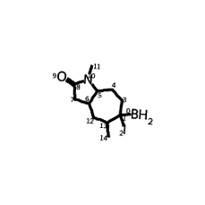 BC1(I)CCC2C(CC(=O)N2C)CC1C